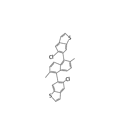 Cc1ccc2c(-c3cc4sccc4cc3Cl)c(C)ccc2c1-c1cc2sccc2cc1Cl